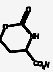 O=C1NC(C(=O)O)CCO1